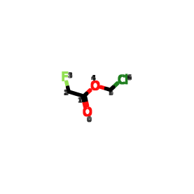 O=C(CF)OCCl